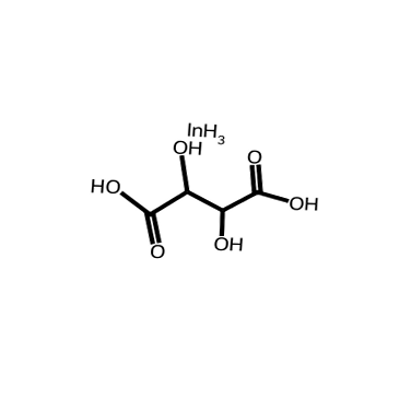 O=C(O)C(O)C(O)C(=O)O.[InH3]